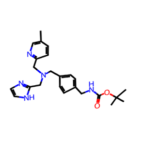 Cc1ccc(CN(Cc2ccc(CNC(=O)OC(C)(C)C)cc2)Cc2ncc[nH]2)nc1